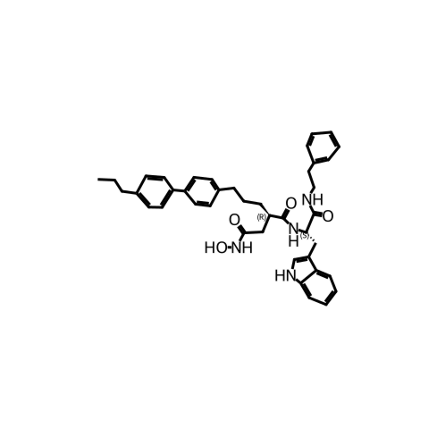 CCCc1ccc(-c2ccc(CCC[C@H](CC(=O)NO)C(=O)N[C@@H](Cc3c[nH]c4ccccc34)C(=O)NCCc3ccccc3)cc2)cc1